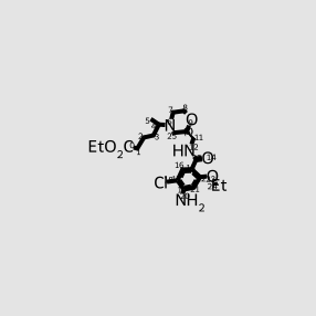 CCOC(=O)CCCC(C)N1CCO[C@@H](CNC(=O)c2cc(Cl)c(N)cc2OCC)C1